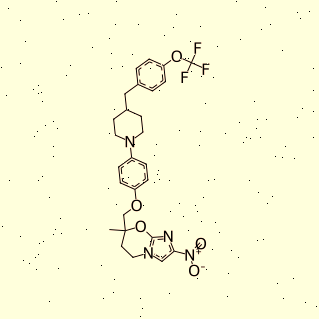 CC1(COc2ccc(N3CCC(Cc4ccc(OC(F)(F)F)cc4)CC3)cc2)CCn2cc([N+](=O)[O-])nc2O1